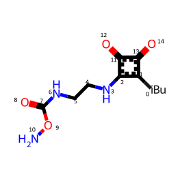 CCC(C)c1c(NCCNC(=O)ON)c(=O)c1=O